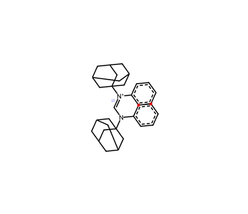 C(/N(c1ccccc1)C12CC3CC(CC(C3)C1)C2)=[N+](/c1ccccc1)C12CC3CC(CC(C3)C1)C2